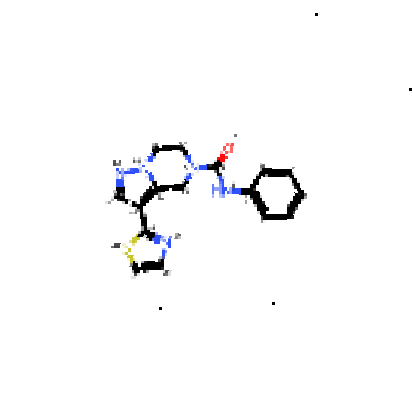 O=C(Nc1ccccc1)N1CCn2ncc(-c3nccs3)c2C1